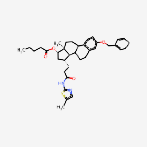 CCCCC(=O)O[C@H]1C[C@@H](CCC(=O)Nc2ncc(C)s2)C2C3CCc4cc(OCC5=CCCC=C5)ccc4C3CC[C@@]21C